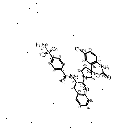 NS(=O)(=O)c1ccc(C(=O)NC(Cc2ccccc2)C(=O)N2CCC3(C2)OC(=O)Nc2ccc(Cl)cc23)cc1